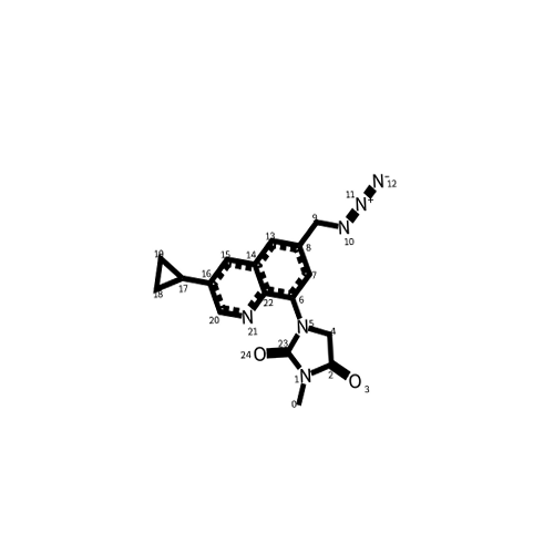 CN1C(=O)CN(c2cc(CN=[N+]=[N-])cc3cc(C4CC4)cnc23)C1=O